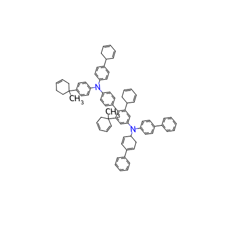 CC1(c2cc(N(c3ccc(-c4ccccc4)cc3)C3C=CC(c4ccccc4)=CC3)cc(C3C=CC=CC3)c2-c2ccc(N(c3ccc(C4C=CC=CC4)cc3)c3ccc(C4(C)CC=CCC4)cc3)cc2)C=CC=CC1